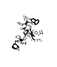 C=C[C@@]1(N)C[C@]1(C(=O)O)C(=O)[C@@H]1C[C@@H](OC(=O)NCc2cccnc2)CN1C(=O)N[C@H](C(=O)N[C@H]1c2ccccc2C[C@H]1O)C(C)(C)C